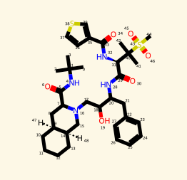 CC(C)(C)NC(=O)C1C[C@@H]2CCCC[C@@H]2CN1CC(O)C(Cc1ccccc1)NC(=O)[C@@H](NC(=O)c1ccsc1)C(C)(C)S(C)(=O)=O